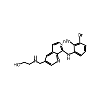 CCCc1c(Br)cccc1Nc1nccc2cc(CNCCO)cnc12